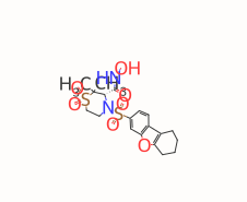 CC1(C)[C@H](C(=O)NO)N(S(=O)(=O)c2ccc3c4c(oc3c2)CCCC4)CCS1(=O)=O